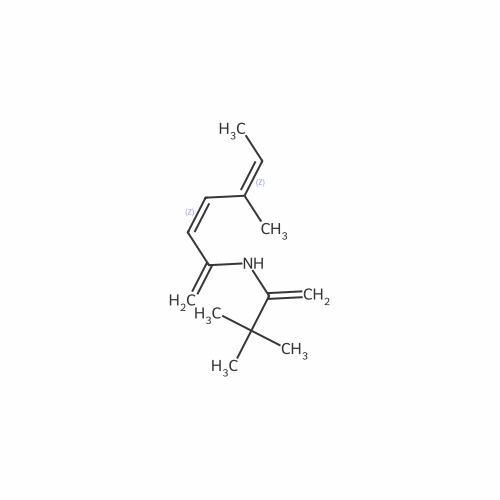 C=C(/C=C\C(C)=C/C)NC(=C)C(C)(C)C